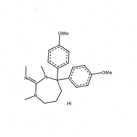 CN=C1N(C)CCCC(c2ccc(OC)cc2)(c2ccc(OC)cc2)N1C.I